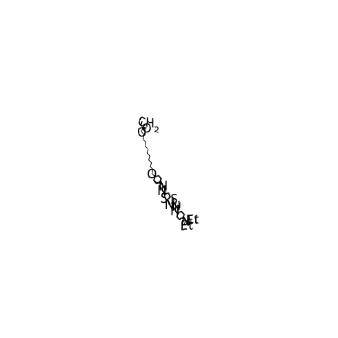 C=CC(=O)OCCCCCCCCCCCOc1ccc(N=Nc2cc3sc(N=Nc4ccc(N(CC)CC)cc4)nc3s2)cc1